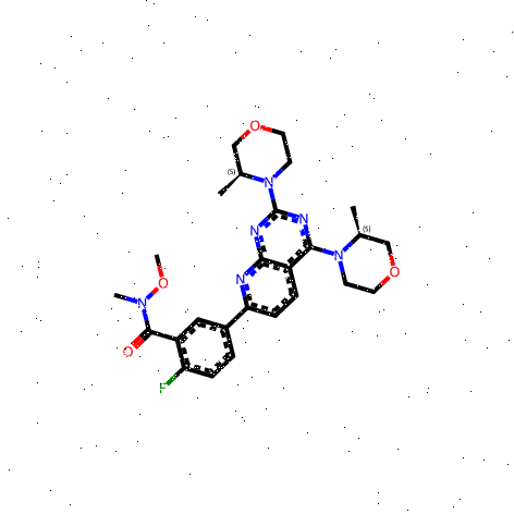 CON(C)C(=O)c1cc(-c2ccc3c(N4CCOC[C@@H]4C)nc(N4CCOC[C@@H]4C)nc3n2)ccc1F